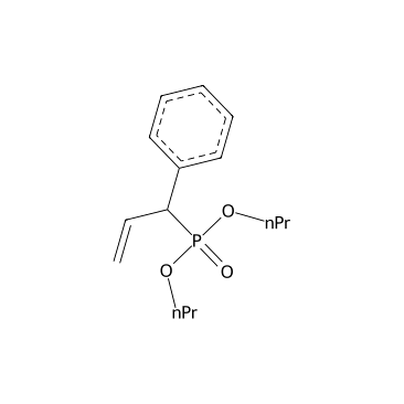 C=CC(c1ccccc1)P(=O)(OCCC)OCCC